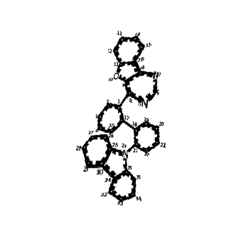 c1ccc(-c2ncnc3c2oc2ccccc23)c(-c2ccccc2-n2c3ccccc3c3ccccc32)c1